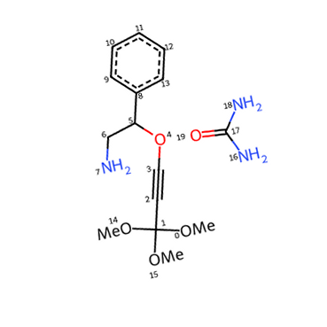 COC(C#COC(CN)c1ccccc1)(OC)OC.NC(N)=O